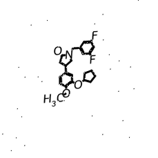 COc1ccc(C2CC(=O)N(Cc3cc(F)cc(F)c3)C2)cc1OC1CCCC1